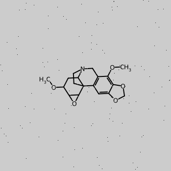 COc1c2c(cc3c1OCO3)C13CCN(C2)C1CC(OC)C1OC13